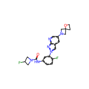 O=C(Nc1ccc(F)c(-n2cc3cc(N4CC5(CCO5)C4)cnc3n2)c1)N1CC(F)C1